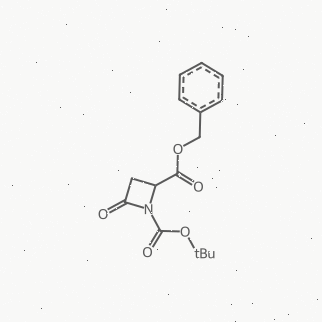 CC(C)(C)OC(=O)N1C(=O)CC1C(=O)OCc1ccccc1